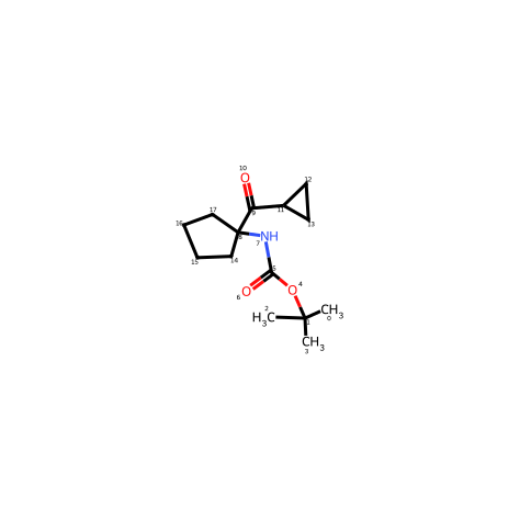 CC(C)(C)OC(=O)NC1(C(=O)C2CC2)CCCC1